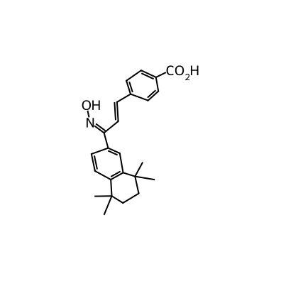 CC1(C)CCC(C)(C)c2cc(C(C=Cc3ccc(C(=O)O)cc3)=NO)ccc21